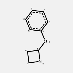 c1ccc(OC2CC[N]2)cc1